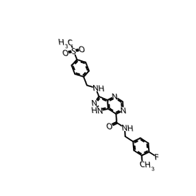 Cc1cc(CNC(=O)c2ncnc3c(NCc4ccc(S(C)(=O)=O)cc4)n[nH]c23)ccc1F